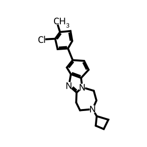 Cc1ccc(-c2ccc3c(c2)nc2n3CCN(C3CCC3)CC2)cc1Cl